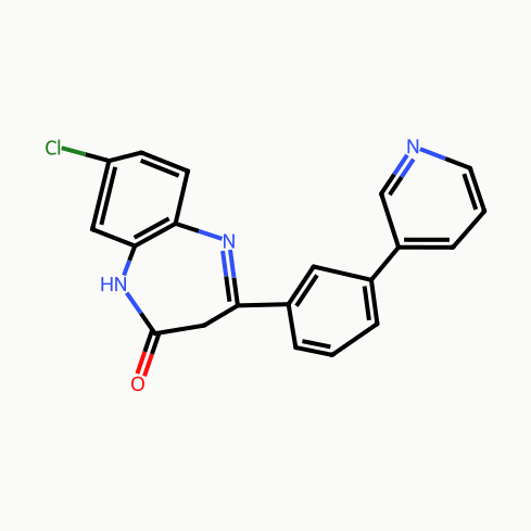 O=C1CC(c2cccc(-c3cccnc3)c2)=Nc2ccc(Cl)cc2N1